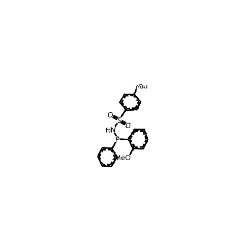 CCCCc1ccc(S(=O)(=O)NP(c2ccccc2)c2ccccc2OC)cc1